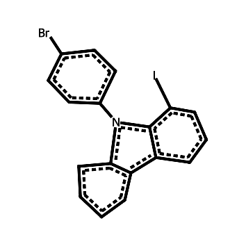 Brc1ccc(-n2c3ccccc3c3cccc(I)c32)cc1